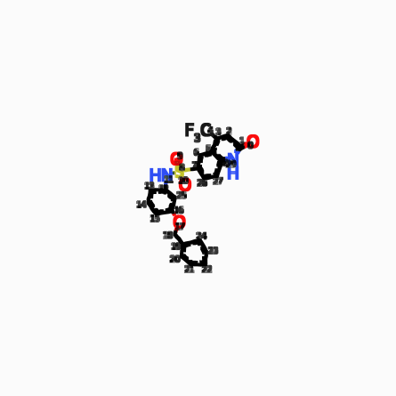 O=c1cc(C(F)(F)F)c2cc(S(=O)(=O)Nc3cccc(OCc4ccccc4)c3)ccc2[nH]1